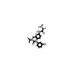 CN[C@@H](C)C(=O)Nc1ccc2c(n1)CN(C(C)C)C(=O)N2c1cccc(Cl)c1